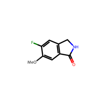 COc1cc2c(cc1F)CNC2=O